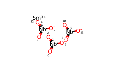 [O]=[Nb](=[O])[O-].[O]=[Nb](=[O])[O-].[O]=[Nb](=[O])[O-].[Sm+3]